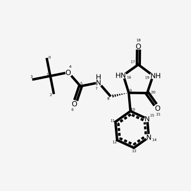 CC(C)(C)OC(=O)NC[C@]1(c2cccnn2)NC(=O)NC1=O